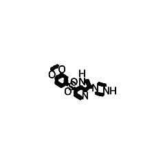 O=S(=O)(c1ccc2c(c1)OCCO2)c1ccnc2c(N3CCNCC3)c[nH]c12